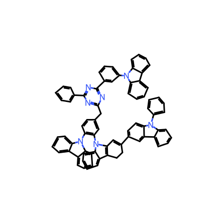 C1=C(c2ccc3c(c2)c2ccccc2n3-c2ccccc2)CCc2c1n(-c1cc(Cc3nc(-c4ccccc4)nc(-c4cccc(-n5c6ccccc6c6ccccc65)c4)n3)ccc1-n1c3ccccc3c3ccccc31)c1ccccc21